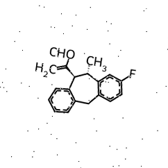 C=C(C=O)[C@@H]1c2ccccc2Cc2ccc(F)cc2[C@H]1C